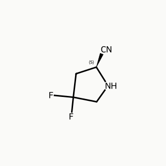 N#C[C@@H]1CC(F)(F)CN1